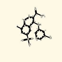 CCS(=O)(=O)c1cc(C)c2nnc(C(N)=O)c(Nc3cncc(Cl)c3)c2c1